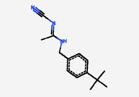 C/C(=N\C#N)NCc1ccc(C(C)(C)C)cc1